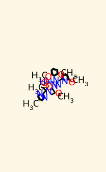 COc1cccc(-c2nnc(NS(=O)(=O)C(C)C(c3ncc(C)cn3)N3CC(OC)C3)n2-c2c(OC)cccc2OC)n1